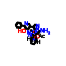 CC(=O)c1c([C@H]2C[C@H]3CC[C@@H](C2)N3C(=O)c2nnc[nH]2)nc2c(-c3cnc(-c4ccccc4)c(O)c3)cnn2c1N